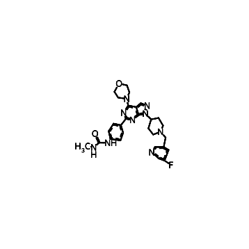 CNC(=O)Nc1ccc(-c2nc(N3CCOCC3)c3cnn(C4CCN(Cc5cncc(F)c5)CC4)c3n2)cc1